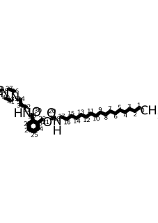 CCCCCCCCCCCCCCCCCCNC(=O)OCc1ccccc1C(=O)NCCCN1CCN(C)CC1